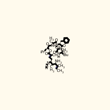 C/C=C(\C)[C@@H](N)[C@@H](C)[C@H](C/C=C(\C)C(=O)O[C@H](CC(C)C)C(=O)N[C@@H](C)C(=O)N(C)[C@H](Cc1ccccc1)C(=O)N(C)CC(=O)N[C@H](C(C)=O)C(C)CC)N=[N+]=[N-]